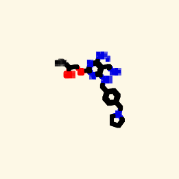 CCCC(O)COc1nc(N)c(C=N)c(NCc2ccc(CN3CCCC3)cc2)n1